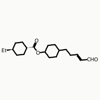 CC[C@H]1CC[C@H](C(=O)OC2CCC(CC/C=C/C=O)CC2)CC1